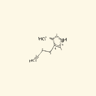 C#CCCc1c[nH]cn1.Cl